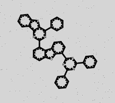 c1ccc(-c2nc(-c3ccccc3)nc(-c3cccc4c3oc3cccc(-c5nc(-c6ccccc6)c6sc7ccccc7c6n5)c34)n2)cc1